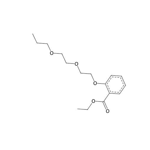 CCCOCCOCCOc1ccccc1C(=O)OCC